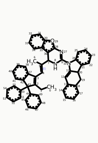 CCC1=C(/C=C(\C)C2NC(N3C4=Cc5ccccc5CC4c4ccccc43)=Nc3oc4ccccc4c32)c2ccccc2C1(c1ccccc1)c1ccccc1